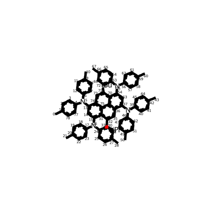 Cc1ccc(N(c2ccc(C)cc2)c2cc(N(c3ccc(C)cc3)c3ccc(C)cc3)c3c(CC(C)C)cc4c(N(c5ccc(C)cc5)c5ccc(C)cc5)cc(N(c5ccc(C)cc5)c5ccc(C)cc5)c5c(C(C)(C)C)cc2c3c45)cc1